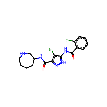 O=C(Nc1[nH]nc(C(=O)NC2CCCCNC2)c1Br)c1ccccc1Cl